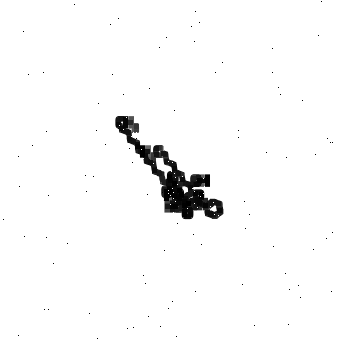 CCCCCCCCCCCCS(=O)(=O)NC(CCCCCC)C(O)C(OCc1ccccc1)C(O)P(=O)(O)O